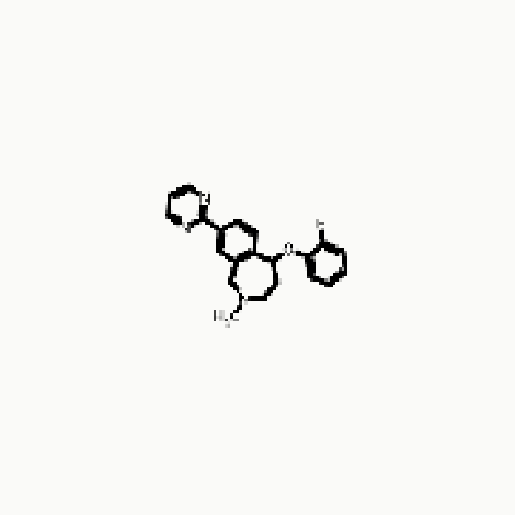 CN1CCC(Oc2ccccc2F)c2ccc(-c3ncccn3)cc2C1